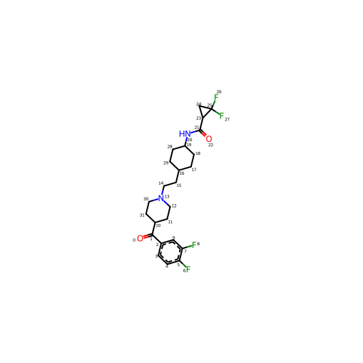 O=C(c1ccc(F)c(F)c1)C1CCN(CCC2CCC(NC(=O)C3CC3(F)F)CC2)CC1